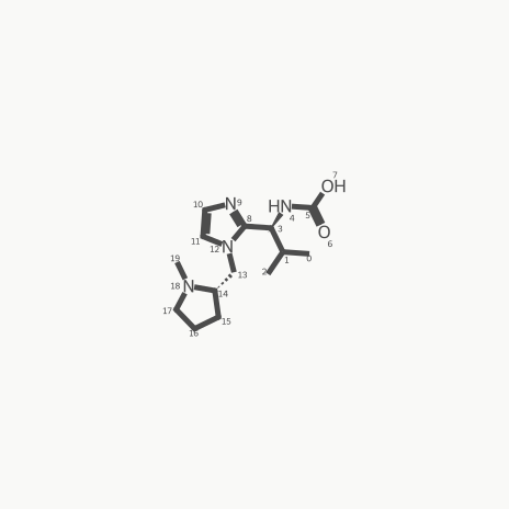 CC(C)[C@H](NC(=O)O)c1nccn1C[C@@H]1CCCN1C